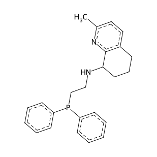 Cc1ccc2c(n1)C(NCCP(c1ccccc1)c1ccccc1)CCC2